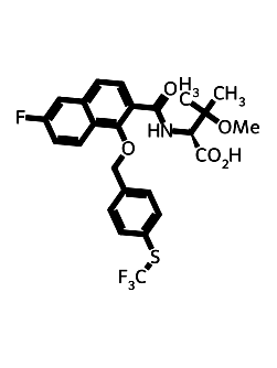 COC(C)(C)[C@H](NC(=O)c1ccc2cc(F)ccc2c1OCc1ccc(SC(F)(F)F)cc1)C(=O)O